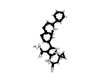 NC(=O)c1c(-c2ccc3ccc(-c4ccccc4)nc3c2)nn2c1NC(=O)CC21CC1